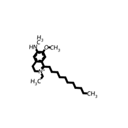 CCCCCCCCCCCC1=[N+](CC)CCc2cc(NC)c(OC)cc21